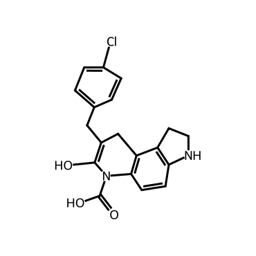 O=C(O)N1C(O)=C(Cc2ccc(Cl)cc2)Cc2c1ccc1c2CCN1